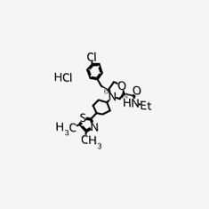 CCNC(=O)[C@H]1CN(C2CCC(c3nc(C)c(C)s3)CC2)[C@@H](Cc2ccc(Cl)cc2)CO1.Cl